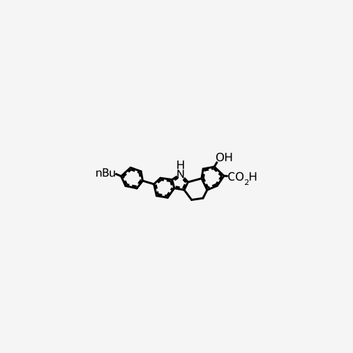 CCCCc1ccc(-c2ccc3c4c([nH]c3c2)-c2cc(O)c(C(=O)O)cc2CC4)cc1